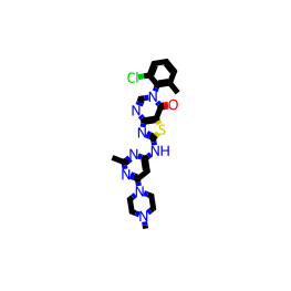 Cc1nc(Nc2nc3ncn(-c4c(C)cccc4Cl)c(=O)c3s2)cc(N2CCN(C)CC2)n1